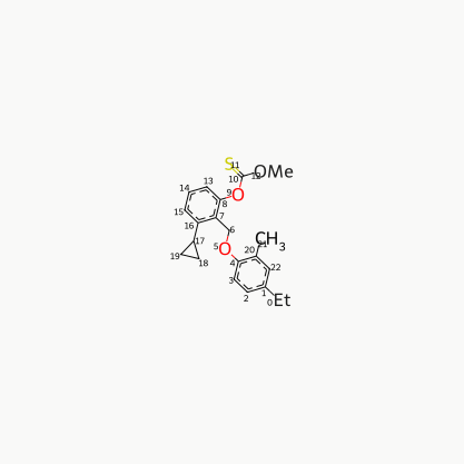 CCc1ccc(OCc2c(OC(=S)OC)cccc2C2CC2)c(C)c1